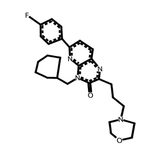 O=c1c(CCCN2CCOCC2)nc2ccc(-c3ccc(F)cc3)nc2n1CC1CCCCC1